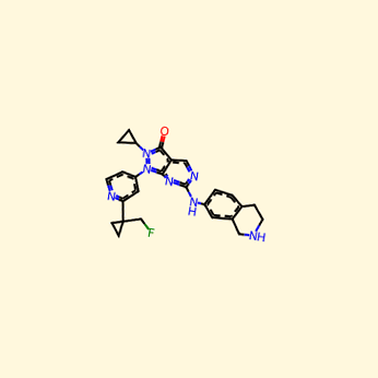 O=c1c2cnc(Nc3ccc4c(c3)CNCC4)nc2n(-c2ccnc(C3(CF)CC3)c2)n1C1CC1